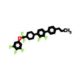 CCCc1ccc(-c2ccc(C3CCC(C(F)(F)Oc4cc(F)c(F)c(F)c4)CC3)c(F)c2F)cc1